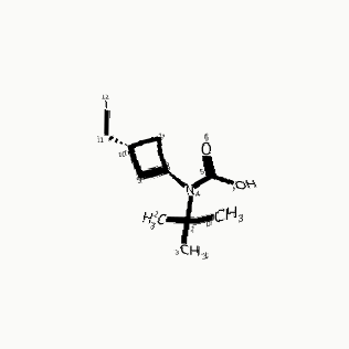 CC(C)(C)N(C(=O)O)[C@H]1C[C@H](CI)C1